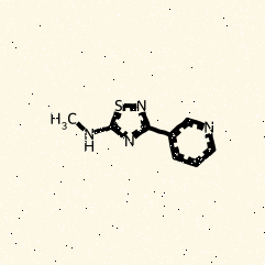 CNc1nc(-c2cccnc2)ns1